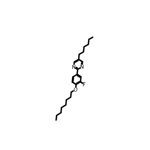 CCCCCCCCOc1ccc(-c2ncc(CCCCCC)cn2)cc1F